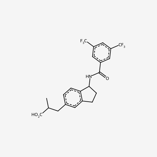 CC(Cc1ccc2c(c1)CCC2NC(=O)c1cc(C(F)(F)F)cc(C(F)(F)F)c1)C(=O)O